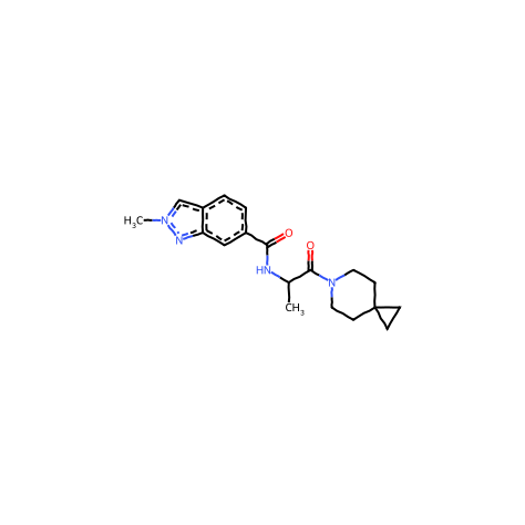 CC(NC(=O)c1ccc2cn(C)nc2c1)C(=O)N1CCC2(CC1)CC2